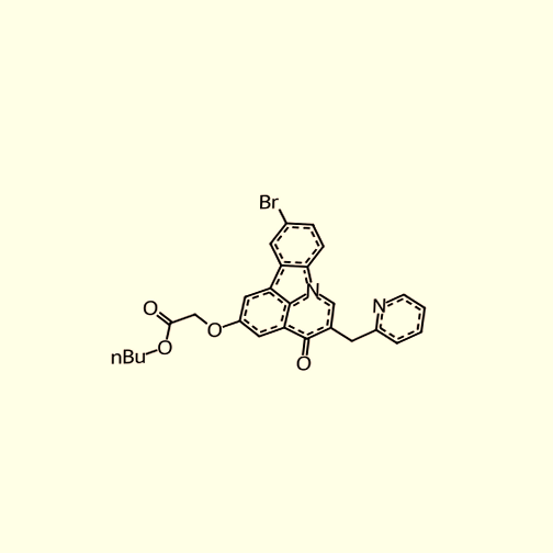 CCCCOC(=O)COc1cc2c(=O)c(Cc3ccccn3)cn3c4ccc(Br)cc4c(c1)c23